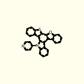 c1ccc2c(c1)oc1c3sc4ccccc4c3c3c(c4ccccc4n3-c3ccncc3)c21